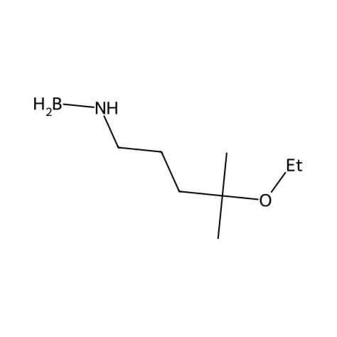 BNCCCC(C)(C)OCC